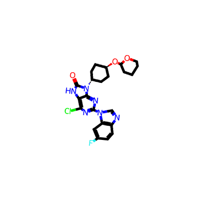 O=c1[nH]c2c(Cl)nc(-n3cnc4ccc(F)cc43)nc2n1[C@H]1CC[C@H](OC2CCCCO2)CC1